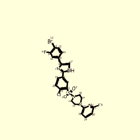 O=S(=O)(c1cc(-c2nc(-c3ccc(Br)c(F)c3)c[nH]2)ccc1Cl)N1CCN(c2cccc(F)n2)CC1